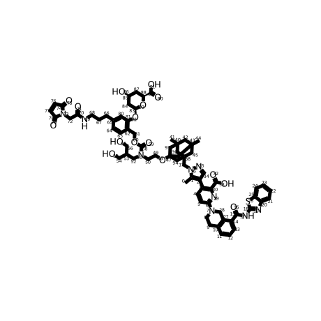 Cc1c(-c2ccc(N3CCc4cccc(C(=O)Nc5nc6ccccc6s5)c4C3)nc2C(=O)O)cnn1CC12CC3(C)CC(C)(C1)CC(OCCN(CC(CO)CO)C(=O)OCc1ccc(CCCNC(=O)CN4C(=O)C=CC4=O)cc1O[C@H]1C[C@@H](O)C[C@@H](C(=O)O)O1)(C3)C2